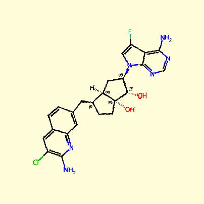 Nc1nc2cc(C[C@@H]3CC[C@@]4(O)[C@@H]3C[C@@H](n3cc(F)c5c(N)ncnc53)[C@@H]4O)ccc2cc1Cl